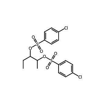 CCC(OS(=O)(=O)c1ccc(Cl)cc1)C(C)OS(=O)(=O)c1ccc(Cl)cc1